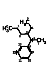 CCCC(CC)N(C)c1cccnc1